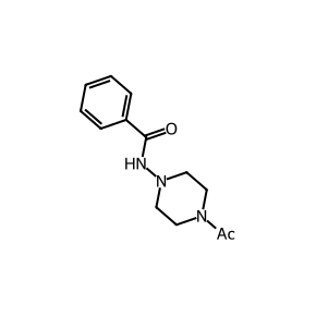 CC(=O)N1CCN(NC(=O)c2ccccc2)CC1